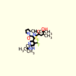 C[C@H]1CCCN1C(=O)c1nc(C(=O)C[C@H](C)C(C)(C)O)sc1-c1cnc(NC(C)(C)C)cc1C(F)F